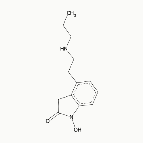 CCCNCCc1cccc2c1CC(=O)N2O